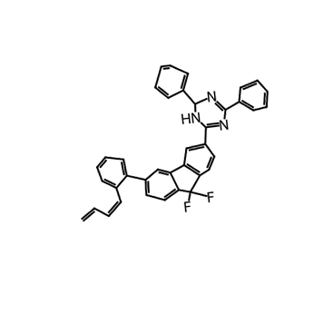 C=C/C=C\c1ccccc1-c1ccc2c(c1)-c1cc(C3=NC(c4ccccc4)=NC(c4ccccc4)N3)ccc1C2(F)F